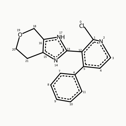 Clc1nccc(-c2ccccc2)c1-c1nc2c([nH]1)COCC2